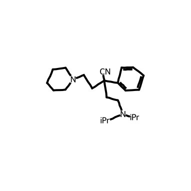 CC(C)N(CCC(C#N)(CCN1CCCCC1)c1ccccc1)C(C)C